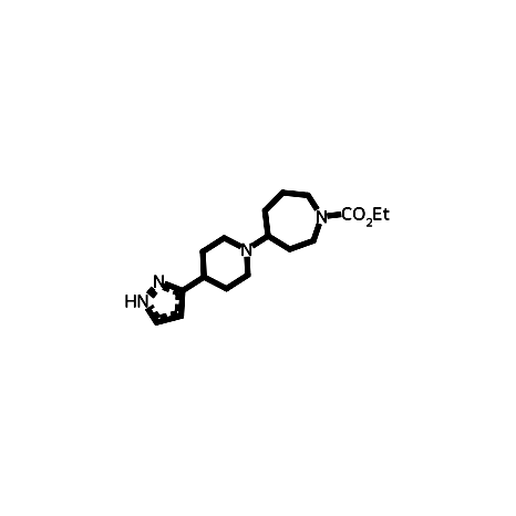 CCOC(=O)N1CCCC(N2CCC(c3cc[nH]n3)CC2)CC1